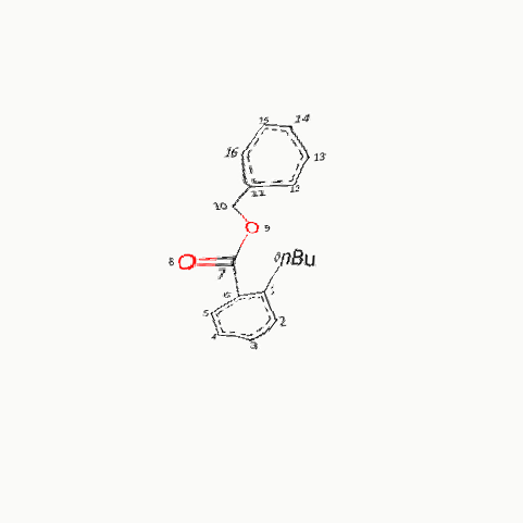 CCCCc1ccccc1C(=O)OCc1ccccc1